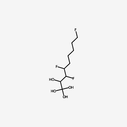 OC(C(F)C(F)CCCCCF)C(O)(O)O